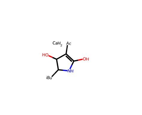 CCC(C)C1NC(O)=C(C(C)=O)C1O.[CaH2]